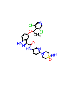 CC(Oc1ccc2[nH]nc(C(=O)Nc3ccc(N4CCS(=N)(=O)CC4)nc3)c2c1)c1c(Cl)cncc1Cl